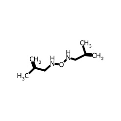 C=C(C)CNONCC(=C)C